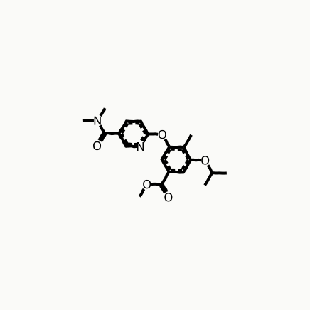 COC(=O)c1cc(Oc2ccc(C(=O)N(C)C)cn2)c(C)c(OC(C)C)c1